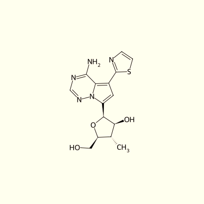 C[C@H]1[C@H](O)[C@H](c2cc(-c3nccs3)c3c(N)ncnn23)O[C@@H]1CO